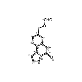 O=COCc1ccc2c(c1)[nH]c(=O)n1cccc21